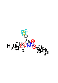 C[Si](C)(C)CCOCOc1cc(-c2ccc(S(F)(F)(F)(F)F)cc2)cc2c(=O)n(COCC[Si](C)(C)C)cnc12